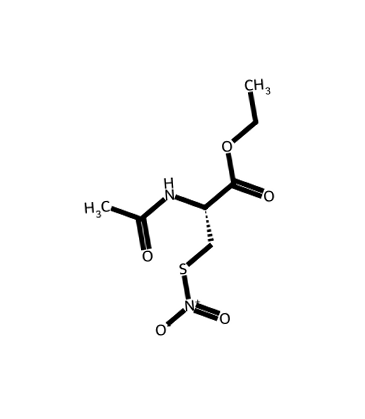 CCOC(=O)[C@H](CS[N+](=O)[O-])NC(C)=O